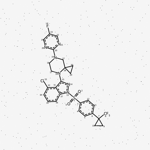 O=S(=O)(c1ccc(C2(C(F)(F)F)CC2)cc1)n1nc(N2CCN(c3ncc(F)cn3)CC23CC3)c2c(Cl)cccc21